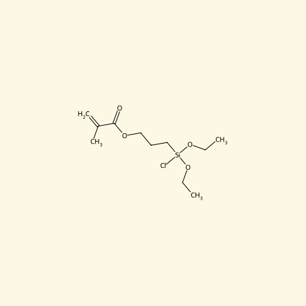 C=C(C)C(=O)OCCC[Si](Cl)(OCC)OCC